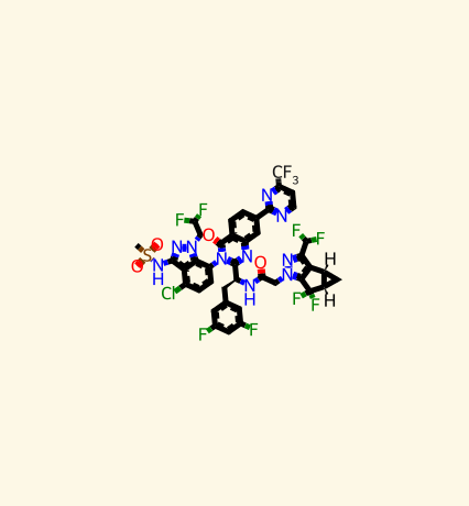 CS(=O)(=O)Nc1nn(CC(F)F)c2c(-n3c([C@H](Cc4cc(F)cc(F)c4)NC(=O)Cn4nc(C(F)F)c5c4C(F)(F)[C@@H]4C[C@H]54)nc4cc(-c5nccc(C(F)(F)F)n5)ccc4c3=O)ccc(Cl)c12